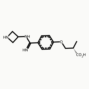 C[C@@H](COc1ccc(C(=N)NC2CNC2)cc1)C(=O)O